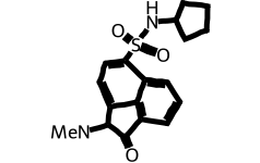 CNC1C(=O)c2cccc3c(S(=O)(=O)NC4CCCC4)ccc1c23